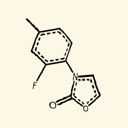 Cc1ccc(-n2ccoc2=O)c(F)c1